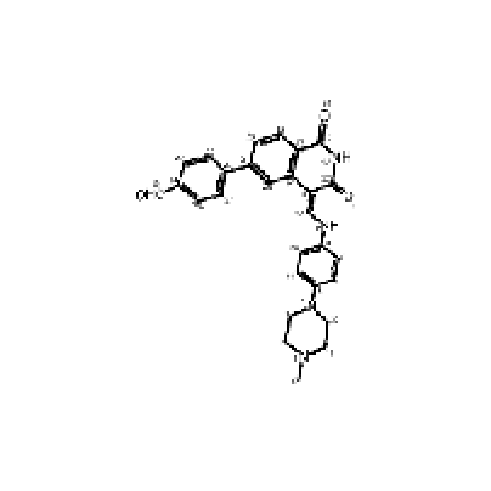 CN1CCN(c2ccc(NC=C3C(=O)NC(=O)c4ccc(-c5ccc(C=O)cc5)cc43)cc2)CC1